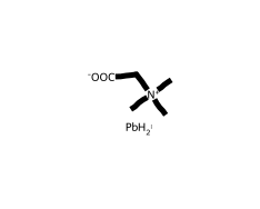 C[N+](C)(C)CC(=O)[O-].[PbH2]